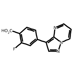 O=C(O)c1ccc(-c2cnn3cccnc23)cc1F